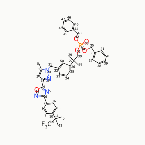 Cc1cc(-c2nc(-c3ccc(C(C)(C)C(F)(F)F)cc3)no2)nn1Cc1cccc(C(C)(C)COP(=O)(OCc2ccccc2)OCc2ccccc2)c1